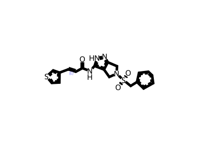 O=C(/C=C/c1ccsc1)Nc1[nH]nc2c1CN(S(=O)(=O)Cc1ccccc1)C2